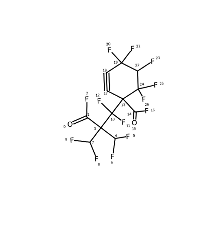 O=C(F)C(C(F)F)(C(F)F)C(F)(F)C1(C(=O)F)C#CC(F)(F)C(F)C1(F)F